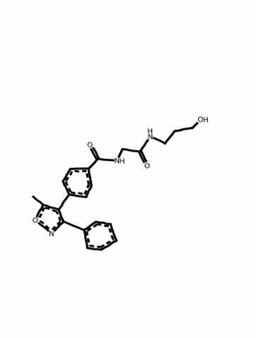 Cc1onc(-c2ccccc2)c1-c1ccc(C(=O)NCC(=O)NCCCO)cc1